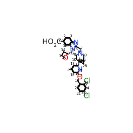 O=C(O)c1ccc2nc(CN3CC[C@]4(c5cccc(OCc6ccc(Cl)cc6Cl)n5)C[C@@H]4C3)n(C[C@H]3CCO3)c2c1